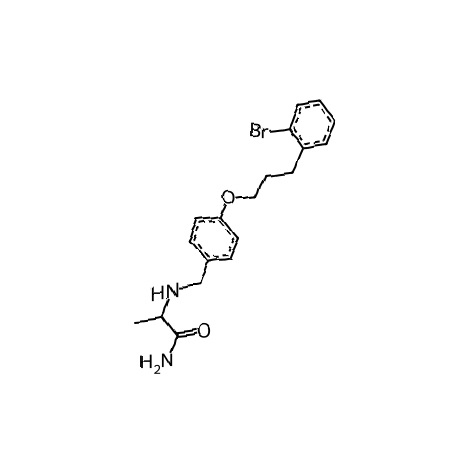 CC(NCc1ccc(OCCCc2ccccc2Br)cc1)C(N)=O